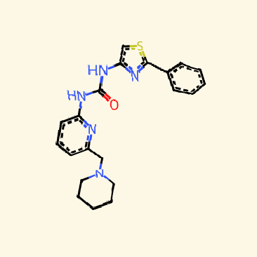 O=C(Nc1cccc(CN2CCCCC2)n1)Nc1csc(-c2ccccc2)n1